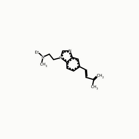 C=C(C)/C=C/c1ccc2c(c1)ncn2CCN(C)CC